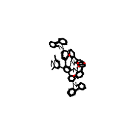 Cc1cc(-c2cc(-c3ccc(-n4c5ccccc5c5ccccc54)cc3)c(-n3c4ccccc4c4ccccc43)c(-n3c4ccccc4c4ccccc43)c2-c2ccc(-n3c4ccccc4c4ccccc43)cc2)cc(C)n1